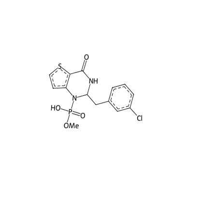 COP(=O)(O)N1c2ccsc2C(=O)NC1Cc1cccc(Cl)c1